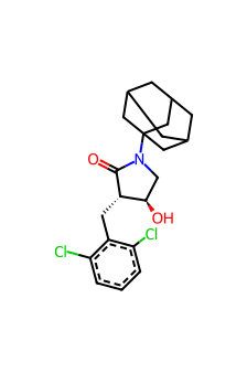 O=C1[C@@H](Cc2c(Cl)cccc2Cl)[C@H](O)CN1C12CC3CC(CC(C3)C1)C2